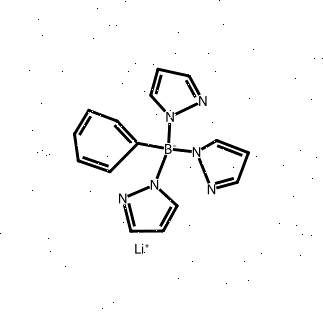 [Li+].c1ccc([B-](n2cccn2)(n2cccn2)n2cccn2)cc1